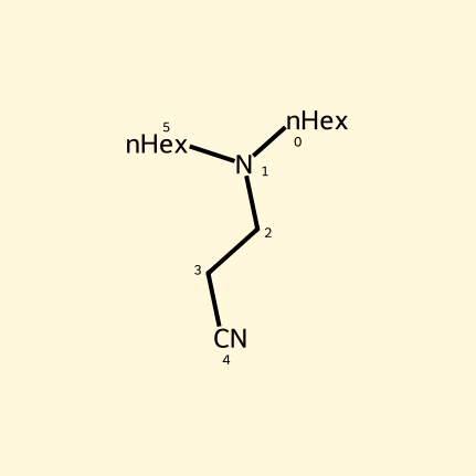 CCCCCCN(CCC#N)CCCCCC